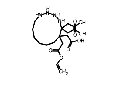 C=COC(=O)CC1(CC(=O)O)CCCCCCNNNNC1(CC(=O)O)CC(=O)O